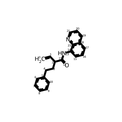 C=CC(CCc1ccccc1)C(=O)Nc1cccc2cccnc12